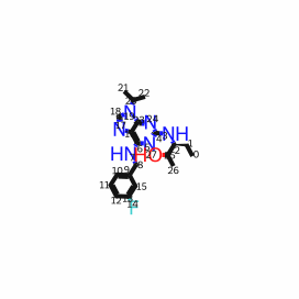 CC[C@H](Nc1nc(NCc2cccc(F)c2)c2ncn(C(C)C)c2n1)C(C)O